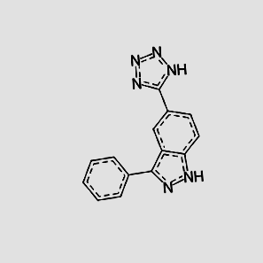 c1ccc(-c2n[nH]c3ccc(-c4nnn[nH]4)cc23)cc1